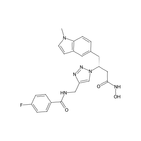 Cn1ccc2cc(C[C@H](CC(=O)NO)n3cc(CNC(=O)c4ccc(F)cc4)nn3)ccc21